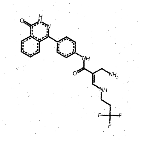 NC/C(=C\NCCC(F)(F)F)C(=O)Nc1ccc(-c2n[nH]c(=O)c3ccccc23)cc1